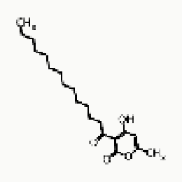 CCCCCCCCCCCCCC(=O)c1c(O)cc(C)oc1=O